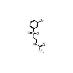 O=C(NCCS(=O)(=O)c1cccc(Br)c1)C(F)(F)F